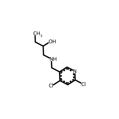 CCC(O)CNCc1cnc(Cl)cc1Cl